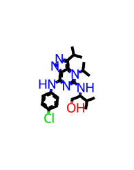 CC(C)c1nnc2c(Nc3ccc(Cl)cc3)nc(NC(CO)C(C)C)n(C(C)C)c1-2